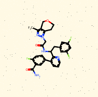 NC(=O)c1cc(-c2cccnc2C(Cc2cc(F)cc(F)c2)NC(=O)Cn2nc(C(F)(F)F)c3c2CCOC3)ccc1F